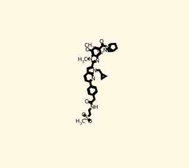 COc1cc(C(=O)N2CC3CCC2C3N)cc2nc(-c3cc4ccc(-c5ccc(CC(=O)NCCS(C)(=O)=O)cc5)nc4n3CC3CC3)n(C)c12